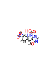 O=C(O)Nc1ncnc2occ(-c3ccc([N+](=O)[O-])cc3)c12